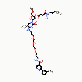 [2H]OCC1OC(n2cc(C)c(NCCCOCCOCCOCCCNC(=O)c3ccnc(-c4cccc(C)c4)c3)nc2=O)CC1OC(=O)CCC(=O)NCCCC